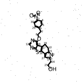 O=[N+]([O-])c1ccc(CCOc2ncnc3sc4c(c23)CCc2nn(CCO)cc2-4)cc1